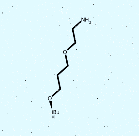 CC[C@H](C)OCCCOCCN